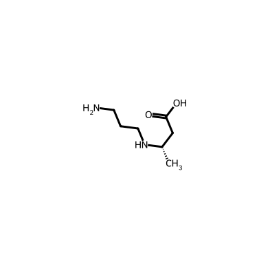 C[C@@H](CC(=O)O)NCCCN